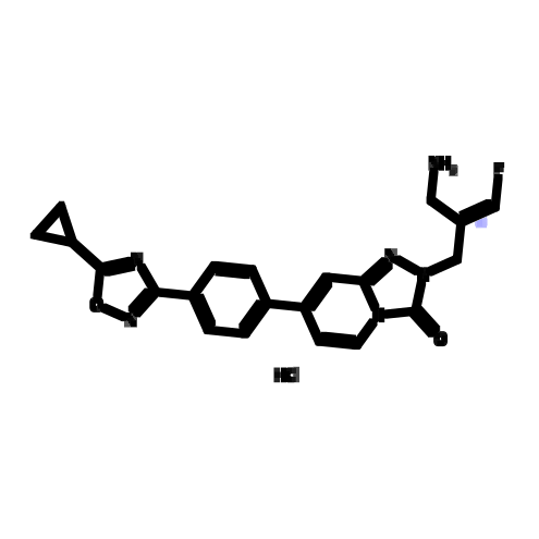 Cl.NC/C(=C\F)Cn1nc2cc(-c3ccc(-c4noc(C5CC5)n4)cc3)ccn2c1=O